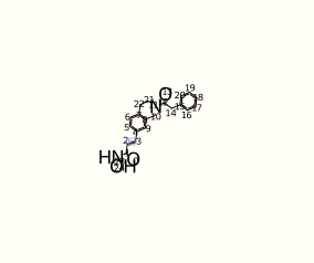 O=C(/C=C/c1ccc2c(c1)CN(C(=O)Cc1ccccc1)CC2)NO